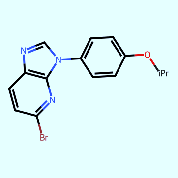 CC(C)Oc1ccc(-n2cnc3ccc(Br)nc32)cc1